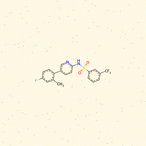 Cc1cc(F)ccc1-c1ccc(NS(=O)(=O)c2cccc(C(F)(F)F)c2)nc1